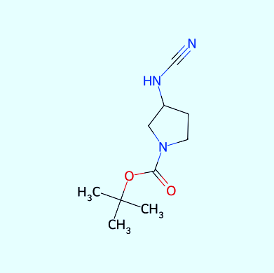 CC(C)(C)OC(=O)N1CCC(NC#N)C1